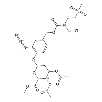 COC(=O)C1OC(Oc2ccc(COC(=O)N(CCl)CCS(C)(=O)=O)cc2N=[N+]=[N-])CC(OC(C)=O)[C@@H]1OC(C)=O